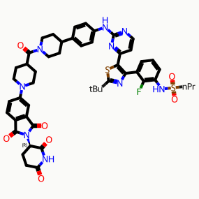 CCCS(=O)(=O)Nc1cccc(-c2nc(C(C)(C)C)sc2-c2ccnc(Nc3ccc(C4CCN(C(=O)C5CCN(c6ccc7c(c6)C(=O)N([C@@H]6CCC(=O)NC6=O)C7=O)CC5)CC4)cc3)n2)c1F